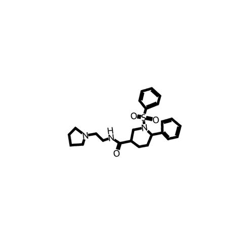 O=C(NCCN1CCCC1)C1CCC(c2ccccc2)N(S(=O)(=O)c2ccccc2)C1